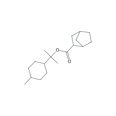 CC1CCC(C(C)(C)OC(=O)C2CC3CCC2C3)CC1